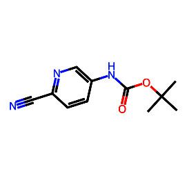 CC(C)(C)OC(=O)Nc1ccc(C#N)nc1